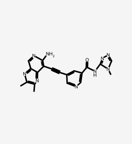 Cc1nc2cnc(N)c(C#Cc3cncc(C(=O)Nc4nncn4C)c3)c2nc1C